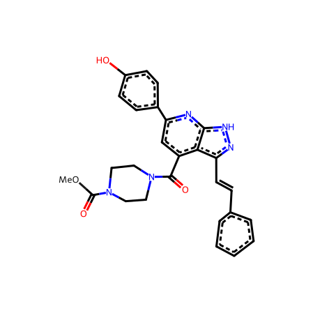 COC(=O)N1CCN(C(=O)c2cc(-c3ccc(O)cc3)nc3[nH]nc(/C=C/c4ccccc4)c23)CC1